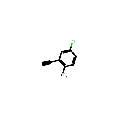 C#Cc1cc(Cl)ccc1C(F)(F)F